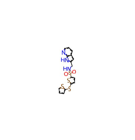 O=S(=O)(NCc1cc2cccnc2[nH]1)c1ccc(Sc2cccs2)s1